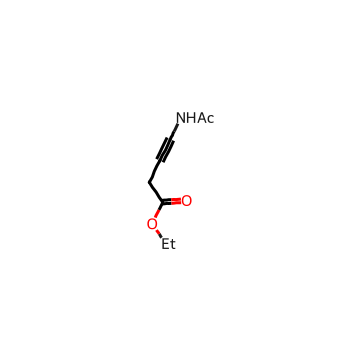 CCOC(=O)CC#CNC(C)=O